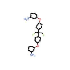 Nc1cccc(Oc2ccc(C(CF)(CF)c3ccc(Oc4cccc(N)c4)cc3)cc2)c1